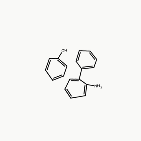 Nc1ccccc1-c1ccccc1.Oc1ccccc1